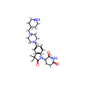 CC1(C)C(=O)N(C2CCC(=O)NC2=O)c2ccc(N3CCN(CC4CCNCC4)CC3)cc21